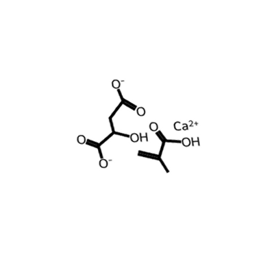 C=C(C)C(=O)O.O=C([O-])CC(O)C(=O)[O-].[Ca+2]